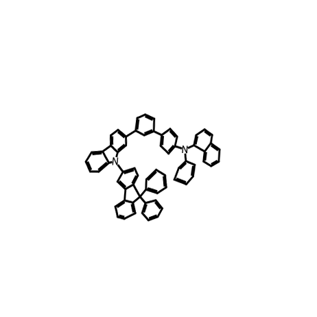 c1ccc(N(c2ccc(-c3cccc(-c4ccc5c6ccccc6n(-c6ccc7c(c6)-c6ccccc6C7(c6ccccc6)c6ccccc6)c5c4)c3)cc2)c2cccc3ccccc23)cc1